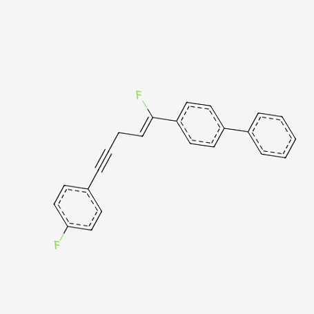 FC(=CCC#Cc1ccc(F)cc1)c1ccc(-c2ccccc2)cc1